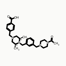 CC(=O)N1CCN(Cc2cccc(CN3[C@H](C)CN(Cc4ccc(C(=O)O)cc4)C[C@@H]3C)c2)CC1